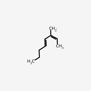 [CH2]C(C=CCCC)=CC